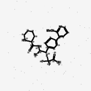 COc1ncccc1-c1ccc(C[C@@H](C#N)NC(=O)[C@@H]2CCCCN2)cc1.O=C(O)C(F)(F)F